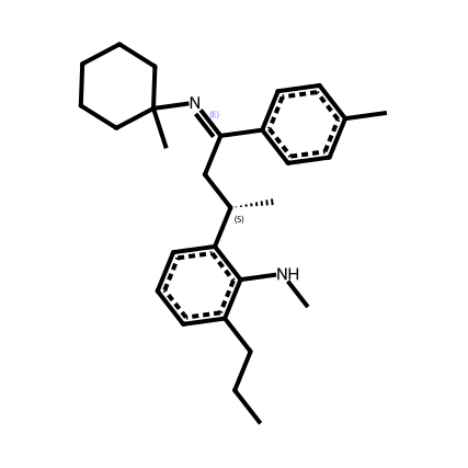 CCCc1cccc([C@@H](C)C/C(=N\C2(C)CCCCC2)c2ccc(C)cc2)c1NC